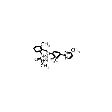 Cc1ccnc(-c2ccc(OCc3c(C)cccc3-n3nnn(C)c3=O)c(C(F)(F)F)c2)n1